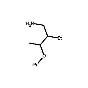 CCC(CN)C(C)OC(C)C